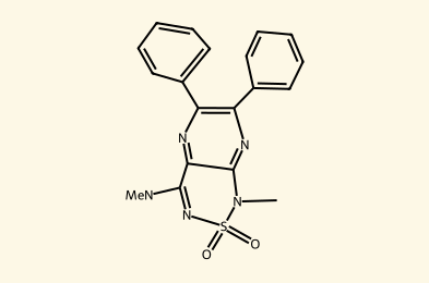 CNC1=NS(=O)(=O)N(C)c2nc(-c3ccccc3)c(-c3ccccc3)nc21